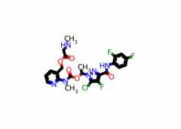 CNCC(=O)OCc1cccnc1N(C)C(=O)OC(C)n1nc(C(=O)Nc2ccc(F)cc2F)c(F)c1Cl